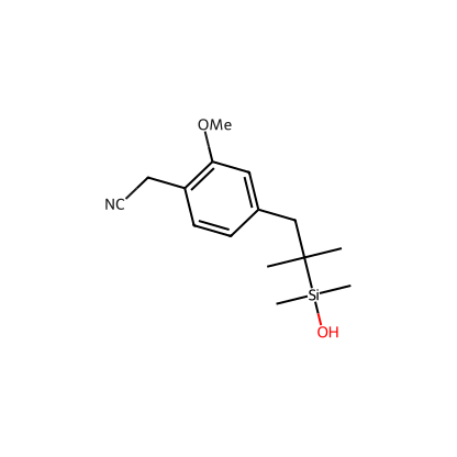 COc1cc(CC(C)(C)[Si](C)(C)O)ccc1CC#N